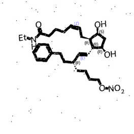 CCNC(=O)CCC/C=C\C[C@@H]1[C@@H](/C=C/[C@H]([CH]CCCO[N+](=O)[O-])CCc2ccccc2)[C@H](O)C[C@@H]1O